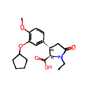 CCN1C(=O)C[C@@H](c2ccc(OC)c(OC3CCCC3)c2)[C@@H]1C(=O)O